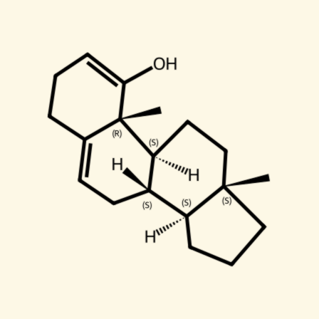 C[C@@]12CCC[C@H]1[C@@H]1CC=C3CCC=C(O)[C@]3(C)[C@H]1CC2